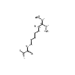 C=C(C)C(=O)OCCCCC[SiH2]C(OCCC)OCCC